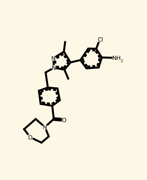 Cc1nn(Cc2ccc(C(=O)N3CCOCC3)cc2)c(C)c1-c1ccc(N)c(Cl)c1